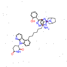 Nc1nnc(-c2ccccc2O)cc1N1CC2CCC(C1)N2c1nccc(CCCCCCc2cccc3c2c2cccnc2n3C2CCC(=O)NC2=O)n1